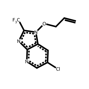 C=CCOn1c(C(F)(F)F)nc2ncc(Cl)cc21